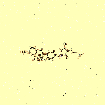 CN(C)CCCN1C(=O)S/C(=C\c2ccc3c(ccn3Cc3ccc(N)cc3C(F)(F)F)c2)C1=O